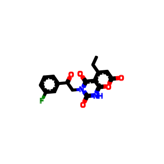 CCc1cc(=O)oc2[nH]c(=O)n(CC(=O)c3cccc(F)c3)c(=O)c12